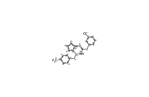 O=C(Cc1cccc(Cl)c1)NC(Cc1ccc(C(F)(F)F)cc1)c1nnn[nH]1